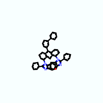 c1ccc(-c2cccc(-c3c4cccc(-n5c(-c6ccccc6)nc6ccccc65)c4cc4c(-n5c(-c6ccccc6)nc6ccccc65)cccc34)c2)cc1